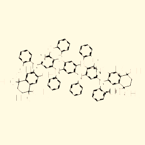 Cc1ccccc1N(c1cc2c3c(n1)Oc1ccccc1B3c1cc3c(cc1N2c1ccccc1)N(c1ccccc1)c1cc(N(c2ccccc2C)c2cc4c(cc2C)C(C)(C)CCC4(C)C)nc2c1B3c1ccccc1O2)c1cc2c(cc1C)C(C)(C)CCC2(C)C